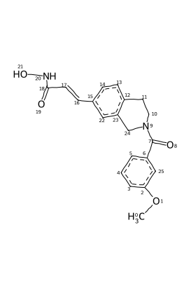 COc1cccc(C(=O)N2CCc3ccc(/C=C/C(=O)NO)cc3C2)c1